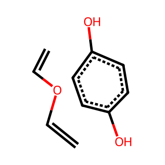 C=COC=C.Oc1ccc(O)cc1